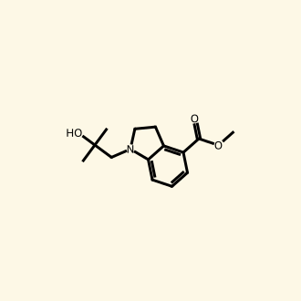 COC(=O)c1cccc2c1CCN2CC(C)(C)O